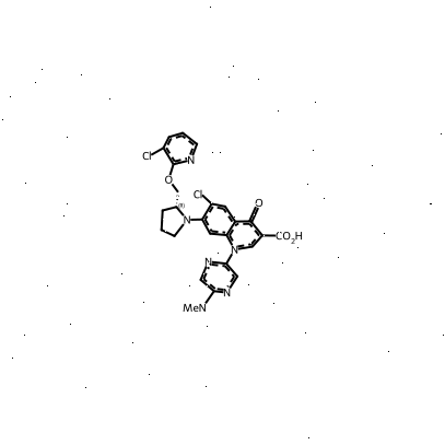 CNc1cnc(-n2cc(C(=O)O)c(=O)c3cc(Cl)c(N4CCC[C@@H]4COc4ncccc4Cl)cc32)cn1